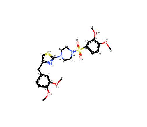 COc1ccc(Cc2csc(N3CCN(S(=O)(=O)c4ccc(OC)c(OC)c4)CC3)n2)cc1OC